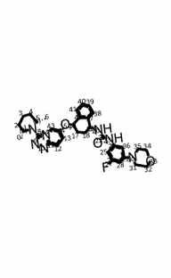 C[C@@H]1CCC[C@H](C)N1c1nnc2ccc(O[C@@H]3CC[C@H](NC(=O)Nc4cc(F)cc(N5CCOCC5)c4)c4ccccc43)cn12